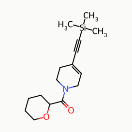 C[Si](C)(C)C#CC1=CCN(C(=O)C2CCCCO2)CC1